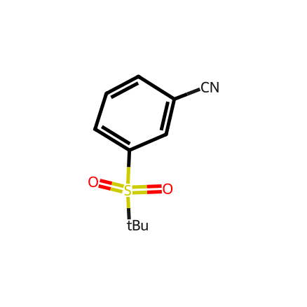 CC(C)(C)S(=O)(=O)c1cccc(C#N)c1